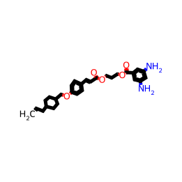 C=CCC1CCC(COc2ccc(/C=C/C(=O)OCCCOC(=O)c3cc(N)cc(N)c3)cc2)CC1